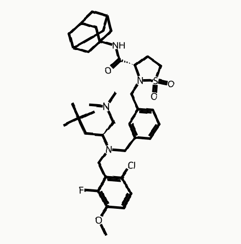 COc1ccc(Cl)c(CN(Cc2cccc(CN3[C@H](C(=O)NC45CC6CC(CC(C6)C4)C5)CCS3(=O)=O)c2)[C@H](CN(C)C)CC(C)(C)C)c1F